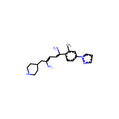 Cc1cc(-n2cccn2)ccc1/C(N)=C/C=C(\N)CC1CCNCC1